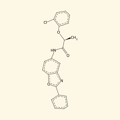 C[C@H](Oc1ccccc1Cl)C(=O)Nc1ccc2oc(-c3ccccc3)nc2c1